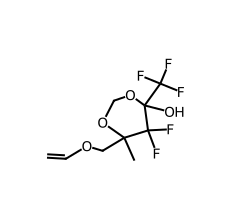 C=COCC1(C)OCOC(O)(C(F)(F)F)C1(F)F